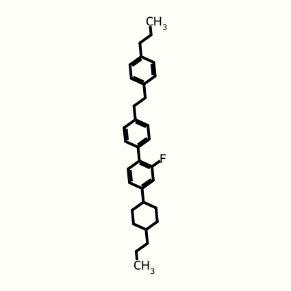 CCCc1ccc(CCc2ccc(-c3ccc(C4CCC(CCC)CC4)cc3F)cc2)cc1